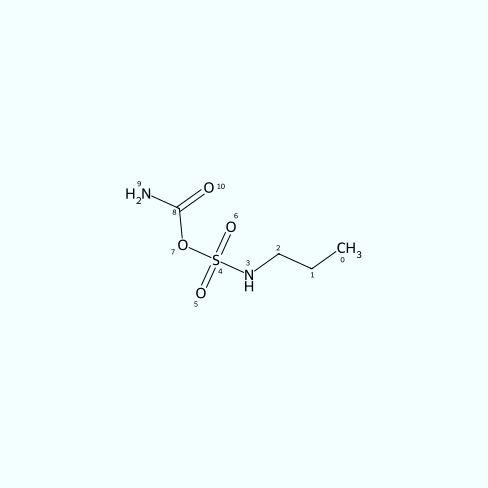 CCCNS(=O)(=O)OC(N)=O